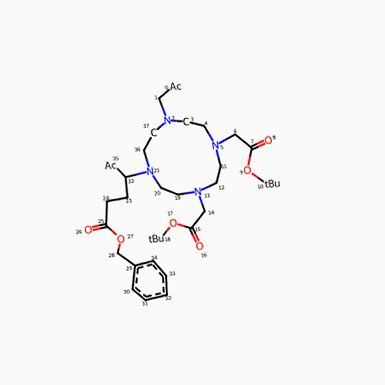 CC(=O)CN1CCN(CC(=O)OC(C)(C)C)CCN(CC(=O)OC(C)(C)C)CCN(C(CCC(=O)OCc2ccccc2)C(C)=O)CC1